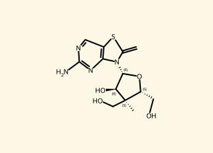 C=C1Sc2cnc(N)nc2N1[C@@H]1O[C@H](CO)[C@@](C)(CO)[C@H]1O